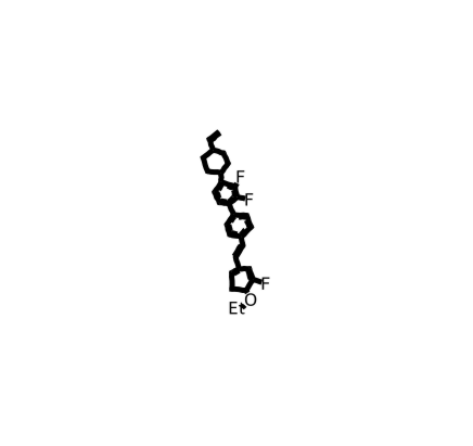 C=CC1CCC(c2ccc(-c3ccc(/C=C/C4=CCC(OCC)C(F)=C4)cc3)c(F)c2F)CC1